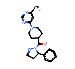 O=C(C1CCN(c2cc(C(F)(F)F)ncn2)CC1)N1N=CCC1c1ccccc1